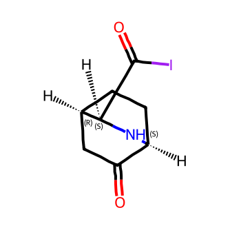 O=C1C[C@H]2CC[C@@H]1N[C@@H]2C(=O)I